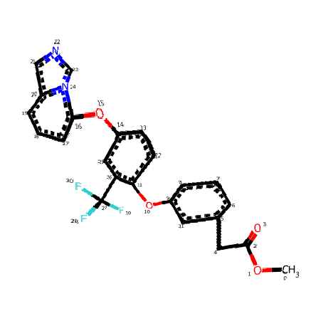 COC(=O)Cc1cccc(Oc2ccc(Oc3cccc4cncn34)cc2C(F)(F)F)c1